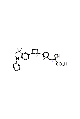 CC1(C)CCN(c2ccccc2)c2ccc(-c3ccc(-c4ccc(/C=C(\C#N)C(=O)O)s4)s3)cc21